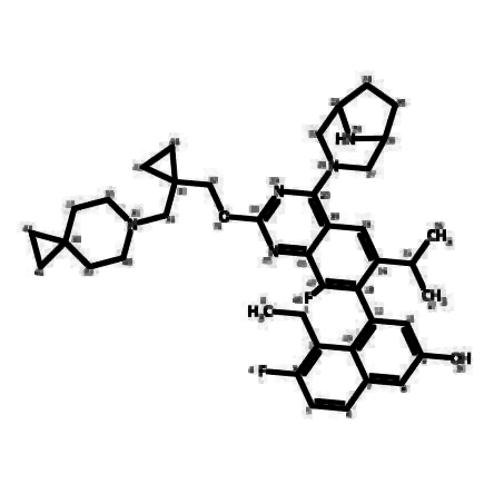 CCc1c(F)ccc2cc(O)cc(-c3c(C(C)C)cc4c(N5CC6CCC(C5)N6)nc(OCC5(CN6CCC7(CC6)CC7)CC5)nc4c3F)c12